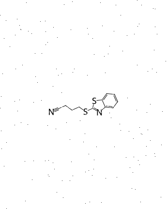 N#CCCCSc1nc2ccccc2s1